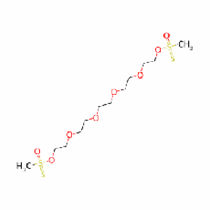 CS(=O)(=S)OCCOCCOCCOCCOCCOS(C)(=O)=S